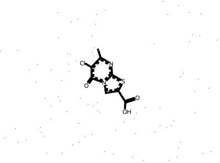 Cc1nc2sc(C(=O)O)cn2c(=O)c1Cl